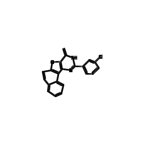 C=C1NC(c2cccc(Cl)c2)=Nc2c1oc1ccc3ccccc3c21